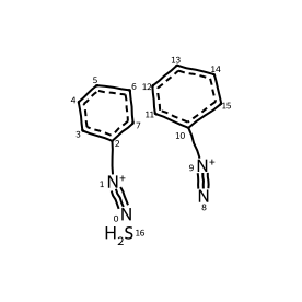 N#[N+]c1ccccc1.N#[N+]c1ccccc1.S